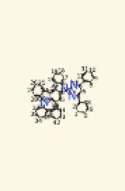 c1ccc(-c2cc(-c3ccccc3)nc(-n3c4ccccc4c4c5c6ccccc6n(-c6ccccc6)c5c(-c5ccccc5)cc43)n2)cc1